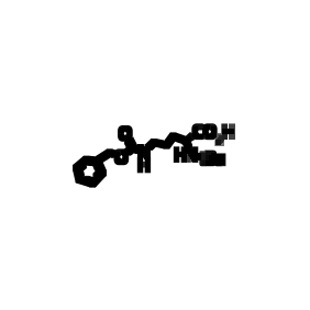 CC(C)(C)N[C@@H](CCCNC(=O)OCc1ccccc1)C(=O)O